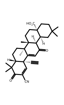 C#C[C@]12C=C(C#N)C(=O)C(C)(C)[C@@H]1CC[C@]1(C)C2=CC(=O)[C@@H]2[C@@H]3CC(C)(C)CC[C@]3(C(=O)O)CC[C@]21C